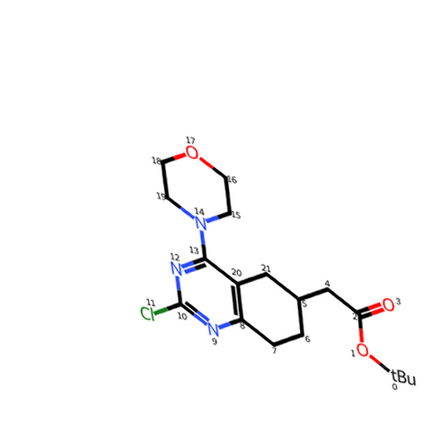 CC(C)(C)OC(=O)CC1CCc2nc(Cl)nc(N3CCOCC3)c2C1